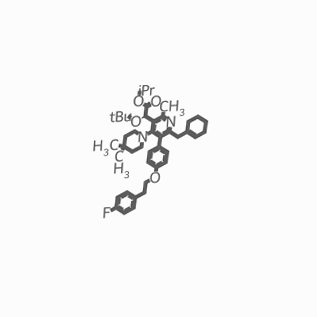 Cc1nc(CC2=CCCCC2)c(-c2ccc(OCCc3ccc(F)cc3)cc2)c(N2CCC(C)(C)CC2)c1[C@H](OC(C)(C)C)C(=O)OC(C)C